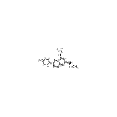 CCNc1nc(OCC)c2nc(-c3ccc(F)cc3)nnc2n1